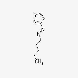 CCCCCN=Nc1ccsn1